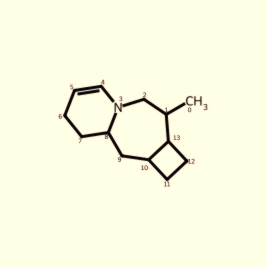 CC1CN2C=CCCC2CC2CCC12